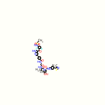 CCCS(=O)(=O)Nc1ccc(F)c(C(=O)c2c[nH]c3ncc(-c4ccc(C(=O)NCCC(=O)N[C@H](C(=O)N5C[C@H](O)C[C@H]5C(=O)NCc5ccc(-c6scnc6C)cc5)C(C)(C)C)cc4)cc23)c1F